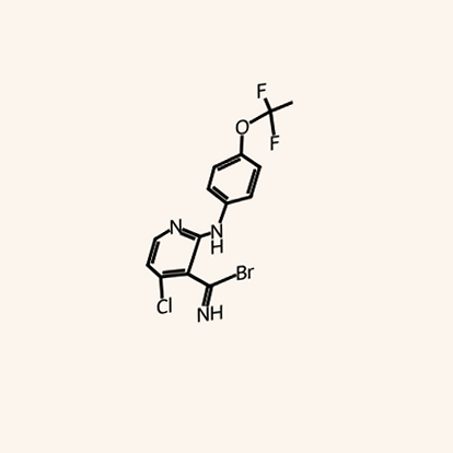 CC(F)(F)Oc1ccc(Nc2nccc(Cl)c2C(=N)Br)cc1